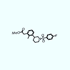 COC(=O)Cc1cccc(C2CCCN(S(=O)(=O)c3ccc(F)cc3)C2)c1C